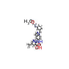 COC/C=C/c1cccc(Cn2ccc3cc(Nc4ncc(C5CC5)cc4C(=O)O)ccc32)c1